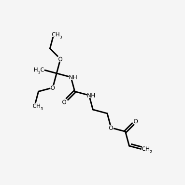 C=CC(=O)OCCNC(=O)NC(C)(OCC)OCC